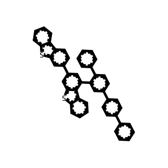 c1ccc(-c2ccc(-c3ccc(-c4ccccc4)c(-c4cc(-c5ccc6c(c5)sc5ccccc56)cc5sc6ccccc6c45)c3)cc2)cc1